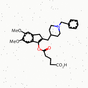 COc1cc2c(cc1OC)C(OC(=O)CCCC(=O)O)=C(CC1CCN(Cc3ccccc3)CC1)C2